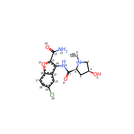 CC(C)(C)N1C[C@@H](O)C[C@H]1C(=O)Nc1c(C(N)=O)oc2ccc(Cl)cc12